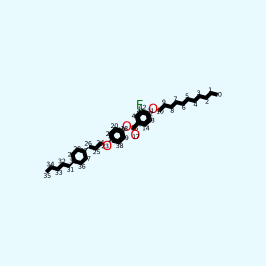 CCCCCCCCCCCOc1ccc(C(=O)Oc2ccc(OCCC[C@H]3CC[C@H](CCCCC)CC3)cc2)cc1F